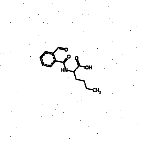 CCCCC(NC(=O)c1ccccc1C=O)C(=O)O